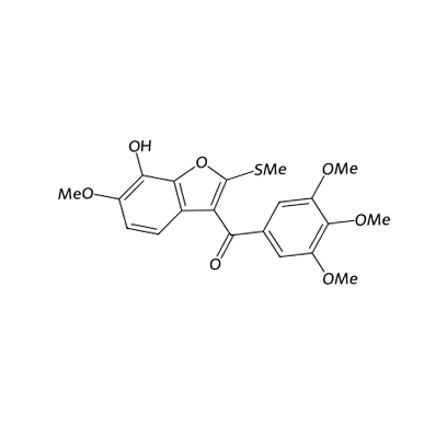 COc1cc(C(=O)c2c(SC)oc3c(O)c(OC)ccc23)cc(OC)c1OC